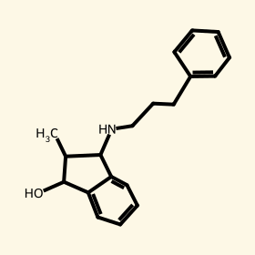 CC1C(O)c2ccccc2C1NCCCc1ccccc1